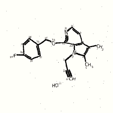 C#CCn1c(C)c(C)c2ccnc(OCc3ccc(F)cc3)c21.Cl